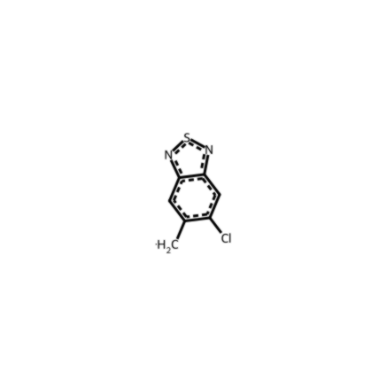 [CH2]c1cc2nsnc2cc1Cl